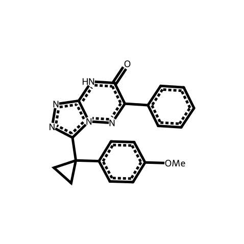 COc1ccc(C2(c3nnc4[nH]c(=O)c(-c5ccccc5)nn34)CC2)cc1